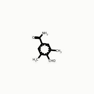 Cc1cc(C(N)=O)cc(C)c1C=O